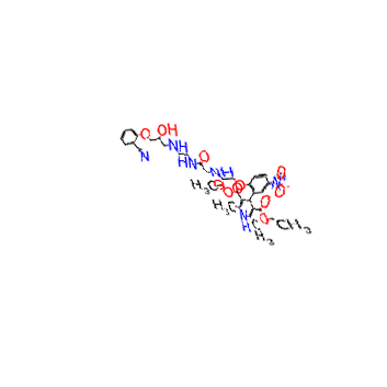 CCOC(=O)C1=C(C)NC(C)=C(C(=O)OCC)C1c1cc([N+](=O)[O-])ccc1OCC(=O)NCC(=O)NCCNCC(O)COc1ccccc1C#N